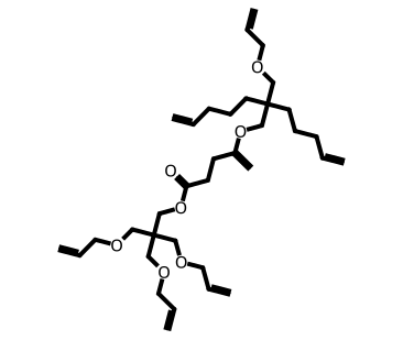 C=CCCCC(CCCC=C)(COCC=C)COC(=C)CCC(=O)OCC(COCC=C)(COCC=C)COCC=C